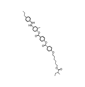 CCCc1ccc(NNc2ccc(OC(=O)c3ccc(OC(=O)c4ccc(OCCCCCCOC(=O)C(C)CC)cc4)cc3)c(C)c2)cc1